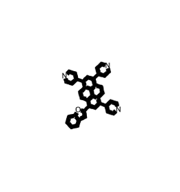 c1ccc2oc(-c3cc(-c4ccncc4)c4ccc5c(-c6ccncc6)cc(-c6ccncc6)c6ccc3c4c56)cc2c1